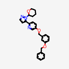 c1ccc(COc2cccc(COc3ccc(-c4ccnn4C4CCCCO4)nc3)c2)cc1